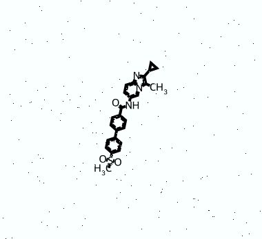 Cc1c(C2CC2)nc2ccc(NC(=O)c3ccc(-c4ccc(S(C)(=O)=O)cc4)cc3)cn12